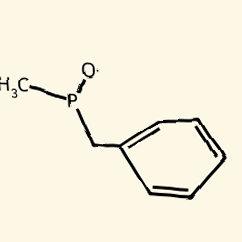 CP([O])Cc1ccccc1